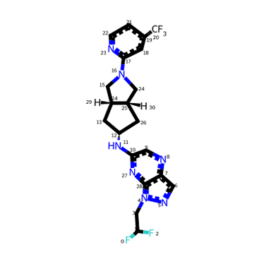 FC(F)Cn1ncc2ncc(N[C@@H]3C[C@@H]4CN(c5cc(C(F)(F)F)ccn5)C[C@@H]4C3)nc21